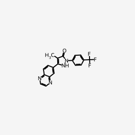 Cc1c(-c2ccc3nccnc3c2)[nH]n(-c2ccc(C(F)(F)F)cc2)c1=O